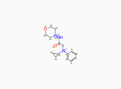 O=C(CN(c1ccccc1)C1CC1)NN1CCOCC1